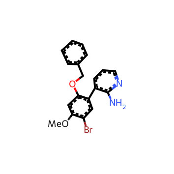 COc1cc(OCc2ccccc2)c(-c2cccnc2N)cc1Br